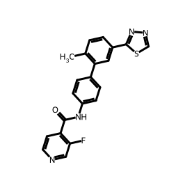 Cc1ccc(-c2nncs2)cc1-c1ccc(NC(=O)c2ccncc2F)cc1